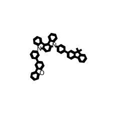 CC1(C)c2ccccc2-c2ccc(-c3ccc(-n4c5ccccc5c5c6c7ccccc7n(-c7cccc(-c8ccc9oc%10ccccc%10c9c8)c7)c6ccc54)cc3)cc21